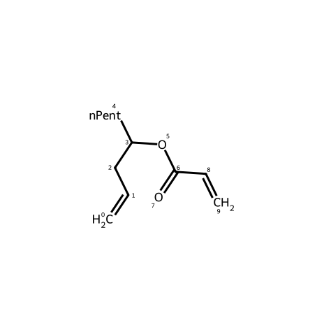 C=CCC(CCCCC)OC(=O)C=C